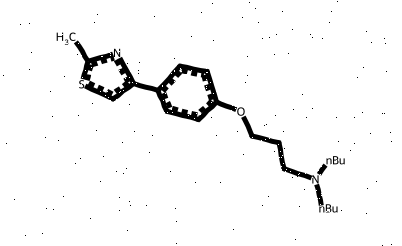 CCCCN(CCCC)CCCOc1ccc(-c2csc(C)n2)cc1